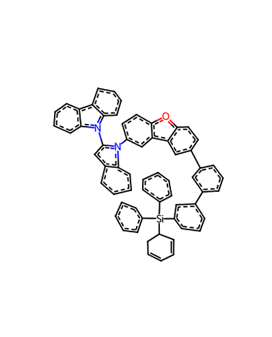 C1=CCC([Si](c2ccccc2)(c2ccccc2)c2cccc(-c3cccc(-c4ccc5oc6ccc(-n7c(-n8c9ccccc9c9ccccc98)cc8ccccc87)cc6c5c4)c3)c2)C=C1